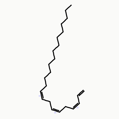 C=C/C=C\C/C=C\C/C=C\CCCCCCCCCCCCC